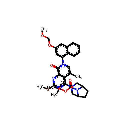 COCOc1cc(-n2cc(C)c3c(N4CC5CCC(C4)N5C(=O)OC(C)(C)C)nc(SC)nc3c2=O)c2ccccc2c1